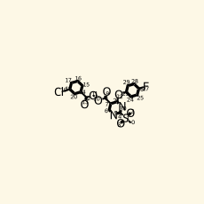 CS(=O)(=O)c1ncc(C(=O)OOC(=O)c2cccc(Cl)c2)c(Oc2ccc(F)cc2)n1